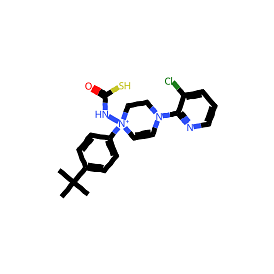 CC(C)(C)c1ccc([N+]2(NC(=O)S)C=CN(c3ncccc3Cl)CC2)cc1